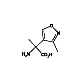 Cc1nocc1C(C)(N)C(=O)O